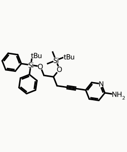 CC(C)(C)[Si](C)(C)OC(CC#Cc1ccc(N)nc1)CO[Si](c1ccccc1)(c1ccccc1)C(C)(C)C